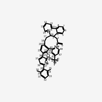 C=C1CC2c3ccccc3-c3cccc[n+]3C2CCc2ccc3c(oc4nc(-c5c(C)cccc5C)ccc43)c2-c2cc(C(F)(F)F)cc[n+]21